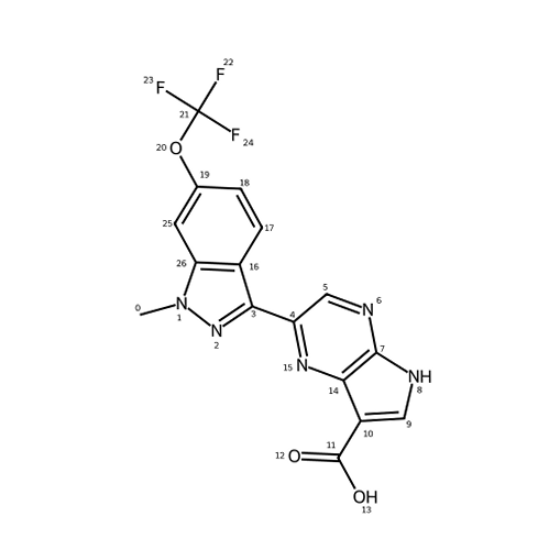 Cn1nc(-c2cnc3[nH]cc(C(=O)O)c3n2)c2ccc(OC(F)(F)F)cc21